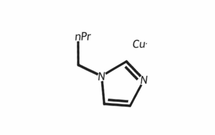 CCCCn1ccnc1.[Cu]